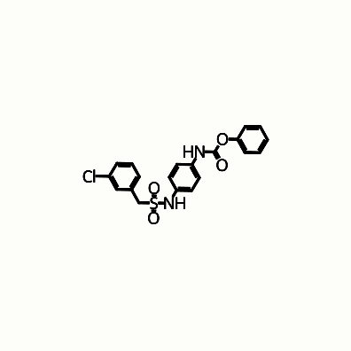 O=C(Nc1ccc(NS(=O)(=O)Cc2cccc(Cl)c2)cc1)Oc1ccccc1